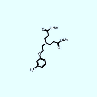 COC(=O)CCN(CCOc1cccc(C(F)(F)F)c1)CCC(=O)OC